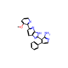 COc1cccnc1-c1ccc2nc(-c3c(-c4ccccc4)ccnc3N)[nH]c2n1